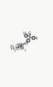 CC/C(=C(\c1ccc(I)cc1)c1ccc(OCCNC(=O)OC(C)(C)C)cc1)c1ccccc1